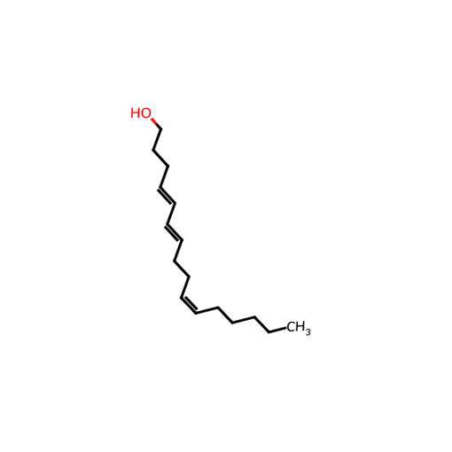 CCCCC/C=C\CC/C=C/C=C/CCCO